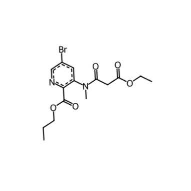 CCCOC(=O)c1ncc(Br)cc1N(C)C(=O)CC(=O)OCC